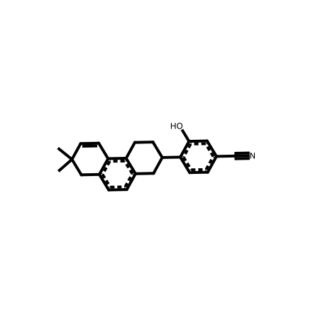 CC1(C)C=Cc2c(ccc3c2CCC(c2ccc(C#N)cc2O)C3)C1